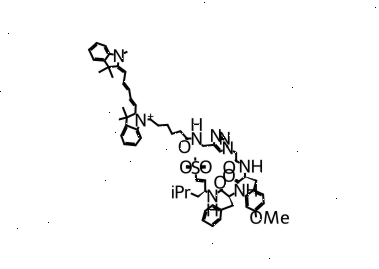 COc1ccc(C[C@H](NC(=O)Cn2cc(CNC(=O)CCCCC[N+]3=C(/C=C/C=C/C=C4/N(C)c5ccccc5C4(C)C)C(C)(C)c4ccccc43)nn2)C(=O)N[C@@H](Cc2ccccc2)C(=O)N[C@H](/C=C/S(C)(=O)=O)CC(C)C)cc1